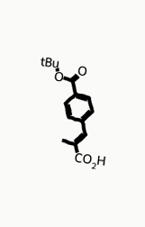 CC(=Cc1ccc(C(=O)OC(C)(C)C)cc1)C(=O)O